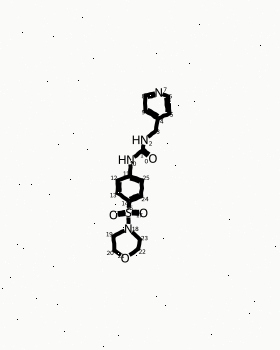 O=C(NCc1ccncc1)Nc1ccc(S(=O)(=O)N2CCOCC2)cc1